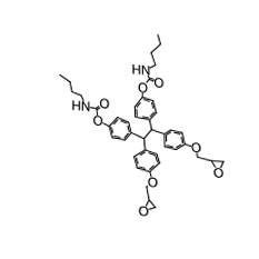 CCCCNC(=O)Oc1ccc(C(c2ccc(OCC3CO3)cc2)C(c2ccc(OCC3CO3)cc2)c2ccc(OC(=O)NCCCC)cc2)cc1